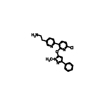 Cn1nc(-c2ccccc2)cc1Oc1nc(Cl)ccc1-c1ccc(CCN)cn1